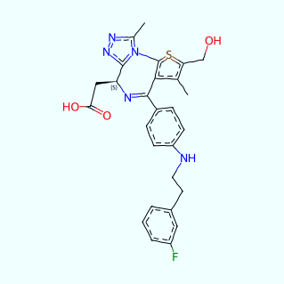 Cc1c(CO)sc2c1C(c1ccc(NCCc3cccc(F)c3)cc1)=N[C@@H](CC(=O)O)c1nnc(C)n1-2